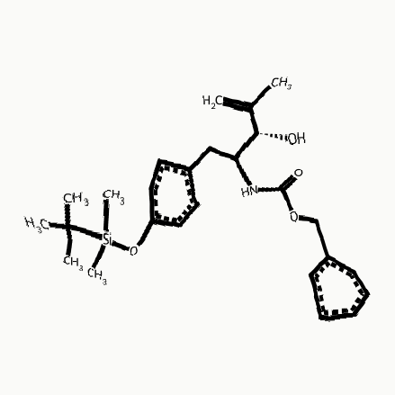 C=C(C)[C@H](O)C(Cc1ccc(O[Si](C)(C)C(C)(C)C)cc1)NC(=O)OCc1ccccc1